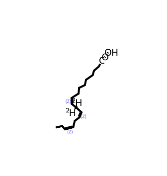 [2H]C([2H])(/C=C\C/C=C\CC)/C=C\CCCCCCCCOO